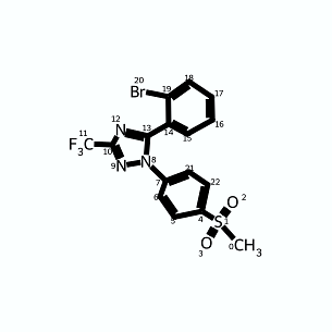 CS(=O)(=O)c1ccc(-n2nc(C(F)(F)F)nc2-c2ccccc2Br)cc1